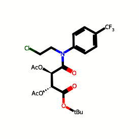 CC(=O)O[C@@H](C(=O)OC(C)(C)C)[C@@H](OC(C)=O)C(=O)N(CCCl)c1ccc(C(F)(F)F)cc1